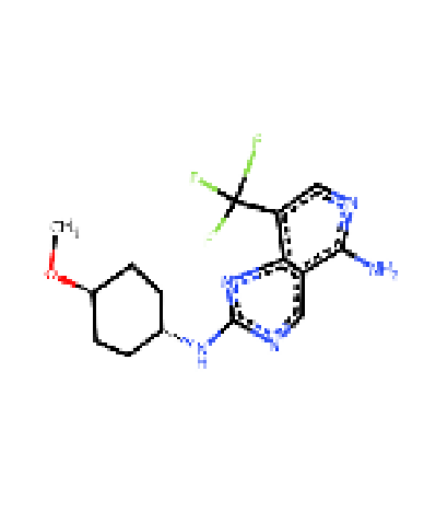 CO[C@H]1CC[C@H](Nc2ncc3c(N)ncc(C(F)(F)F)c3n2)CC1